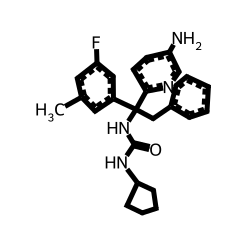 Cc1cc(F)cc(C(Cc2ccccc2)(NC(=O)NC2CCCC2)c2ccc(N)cn2)c1